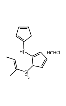 CC=C(C)[SiH2]C1C=CC=[C]1[Hf][C]1=CC=CC1.Cl.Cl